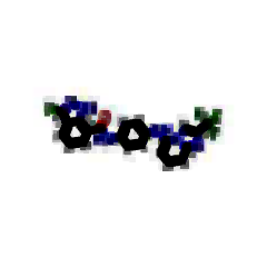 O=C(Nc1ccc(Nc2cccc3nc(C(F)(F)F)cn23)cc1)c1cccc2c(F)n[nH]c12